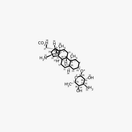 C[C@@H]1O[C@@H](O[C@H]2CC[C@@]3(C)[C@H](CC[C@@H]4[C@@H]3CC[C@]3(C)[C@@H]5CC[C@]43O[C@@H](N)[C@H]5CC(=O)O)C2)[C@H](O)[C@@H](N)[C@H]1O